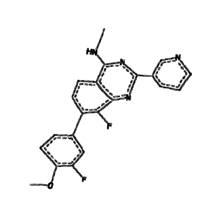 CNc1nc(-c2cccnc2)nc2c(F)c(-c3ccc(OC)c(F)c3)ccc12